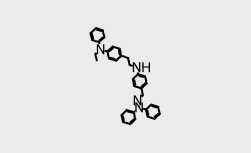 CCN(c1ccccc1)c1ccc(CCNc2ccc(C=NN(c3ccccc3)c3ccccc3)cc2)cc1